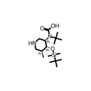 C[C@H]1CNC[C@@H](N(C(=O)O)C(C)(C)C)[C@@H]1O[Si](C)(C)C(C)(C)C